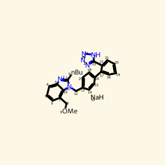 CCCCc1nc2cccc(COC)c2n1Cc1ccc(-c2ccccc2-c2nnn[nH]2)cc1.[NaH]